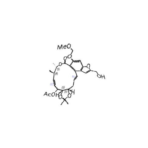 COCOc1cc2oc(CO)cc2c2c1C(=O)O[C@@H](C)[C@H](C)/C=C\C(OC(C)=O)[C@H]1OC(C)(C)O[C@H]1C/C=C/2